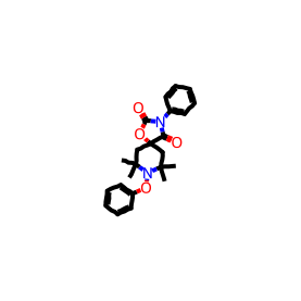 CC1(C)CC2(CC(C)(C)N1Oc1ccccc1)OC(=O)N(c1ccccc1)C2=O